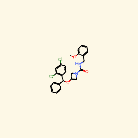 COc1ccccc1CNC(=O)N1CC(OC(c2ccccc2)c2ccc(Cl)cc2Cl)C1